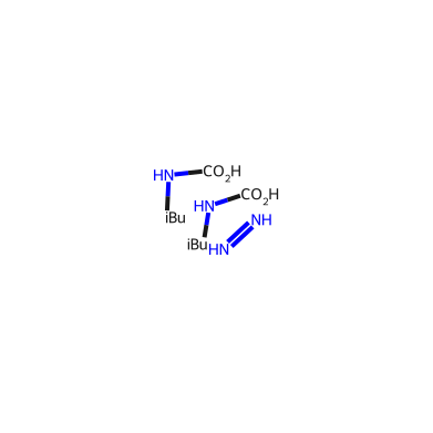 CCC(C)NC(=O)O.CCC(C)NC(=O)O.N=N